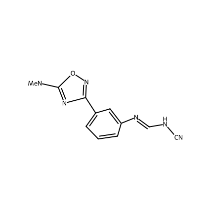 CNc1nc(-c2cccc(N=CNC#N)c2)no1